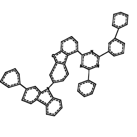 c1ccc(-c2cccc(-c3nc(-c4ccccc4)nc(-c4cccc5oc6cc(-n7c8ccccc8c8ccc(-c9ccccc9)cc87)ccc6c45)n3)c2)cc1